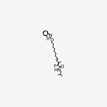 CC(/C=C/CCCCCCCOc1nc2ccccc2s1)=C(/F)C(=O)NCC(C)C